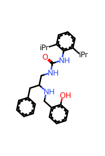 CC(C)c1cccc(C(C)C)c1NC(=O)NCC(Cc1ccccc1)NCc1ccccc1O